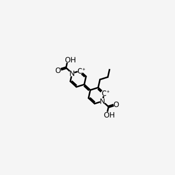 CCCC1=[C+]N(C(=O)O)C=CC1=C1C=[C+]N(C(=O)O)C=C1